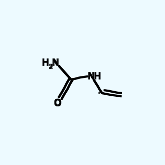 C=[C]NC(N)=O